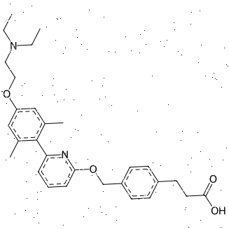 CCN(CC)CCOc1cc(C)c(-c2cccc(OCc3ccc(CCC(=O)O)cc3)n2)c(C)c1